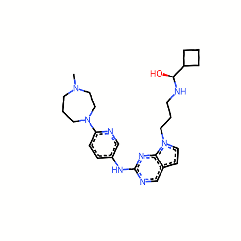 CN1CCCN(c2ccc(Nc3ncc4ccn(CCCN[C@@H](O)C5CCC5)c4n3)cn2)CC1